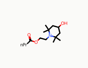 CCCC(=O)OCCN1C(C)(C)CC(O)CC1(C)C